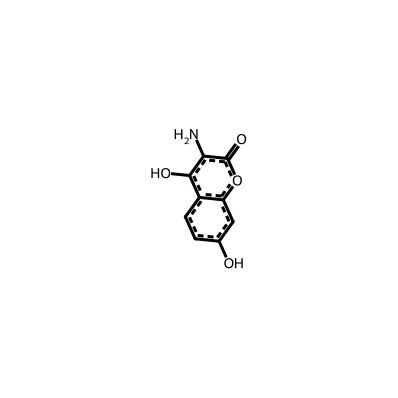 Nc1c(O)c2ccc(O)cc2oc1=O